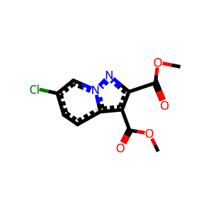 COC(=O)c1nn2cc(Cl)ccc2c1C(=O)OC